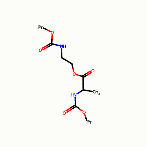 CC(C)OC(=O)NCCOC(=O)C(C)NC(=O)OC(C)C